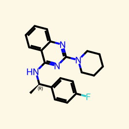 C[C@@H](Nc1nc(N2CCCCC2)nc2ccccc12)c1ccc(F)cc1